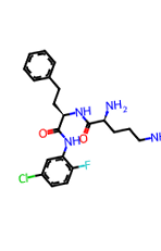 NCCC[C@H](N)C(=O)N[C@H](CCc1ccccc1)C(=O)Nc1cc(Cl)ccc1F